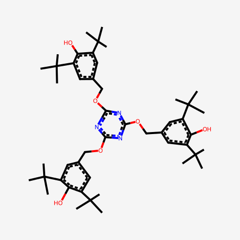 CC(C)(C)c1cc(COc2nc(OCc3cc(C(C)(C)C)c(O)c(C(C)(C)C)c3)nc(OCc3cc(C(C)(C)C)c(O)c(C(C)(C)C)c3)n2)cc(C(C)(C)C)c1O